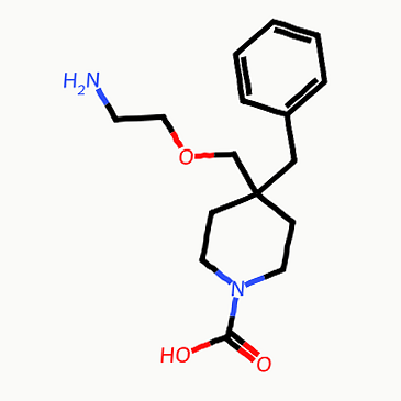 NCCOCC1(Cc2ccccc2)CCN(C(=O)O)CC1